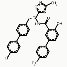 Cc1noc([C@@H](Cc2ccc(-c3ccc(Cl)cc3)cc2)NC(=O)c2cc(-c3ccc(C(F)(F)F)cc3)ccc2O)n1